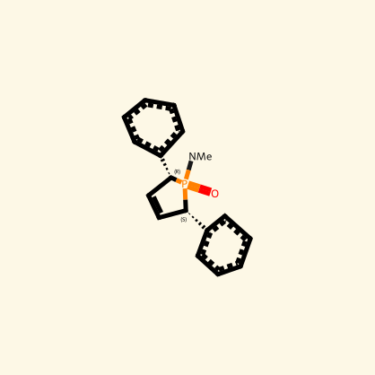 CNP1(=O)[C@@H](c2ccccc2)C=C[C@H]1c1ccccc1